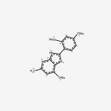 COc1ccc(-c2nc3c(OC)cc(C)nc3[nH]2)c(OC)c1